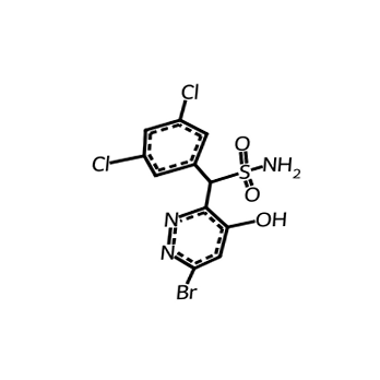 NS(=O)(=O)C(c1cc(Cl)cc(Cl)c1)c1nnc(Br)cc1O